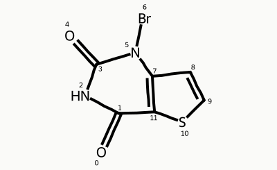 O=c1[nH]c(=O)n(Br)c2ccsc12